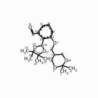 CC1(C)OCC(COc2cccc(C=O)c2B2OC(C)(C)C(C)(C)O2)CO1